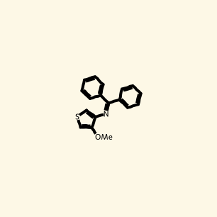 COc1cscc1N=C(c1ccccc1)c1ccccc1